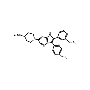 CC(=O)Nc1cc(-c2[nH]c3cc(N4CCC(NC(C)=O)CC4)cnc3c2-c2ccc(C)cn2)ccn1